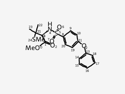 COC(=O)[C@H](NS(=O)(=O)c1ccc(Oc2ccccc2)cc1)C(C)(C)SC